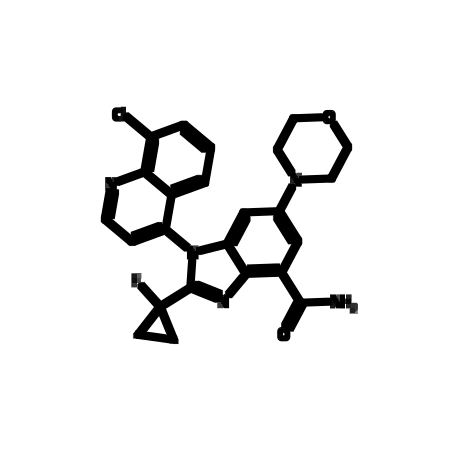 NC(=O)c1cc(N2CCOCC2)cc2c1nc(C1(F)CC1)n2-c1ccnc2c(Cl)cccc12